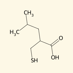 CC(C)CC(CS)C(=O)O